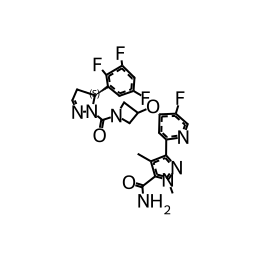 Cc1c(-c2cc(OC3CN(C(=O)N4N=CC[C@H]4c4cc(F)cc(F)c4F)C3)c(F)cn2)nn(C)c1C(N)=O